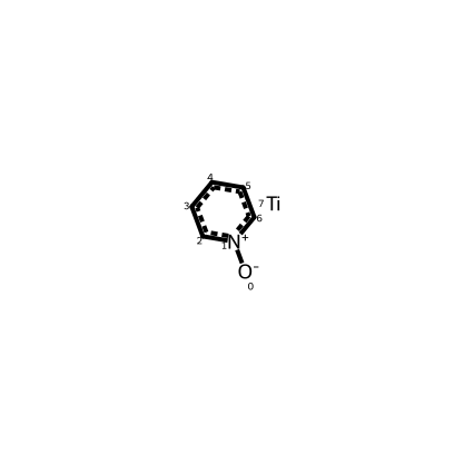 [O-][n+]1ccccc1.[Ti]